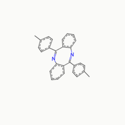 Cc1ccc(/C2=N/c3ccccc3/C(c3ccc(C)cc3)=N\c3ccccc32)cc1